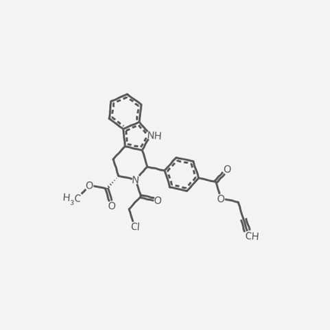 C#CCOC(=O)c1ccc(C2c3[nH]c4ccccc4c3C[C@@H](C(=O)OC)N2C(=O)CCl)cc1